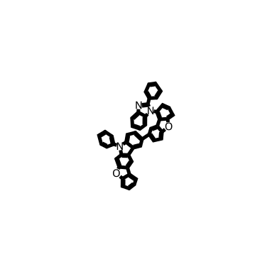 c1ccc(-c2nc3ccccc3n2-c2cccc3oc4ccc(-c5ccc6c(c5)c5cc7c(cc5n6-c5ccccc5)oc5ccccc57)cc4c23)cc1